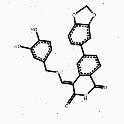 O=C1NC(=O)c2ccc(-c3ccc4c(c3)OCO4)cc2/C1=C\NCc1ccc(O)c(O)c1